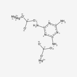 Nc1nc(N)nc(N)n1.[Mg+2].[Mg+2].[Mg+2].[O-]P([O-])[O-].[O-]P([O-])[O-]